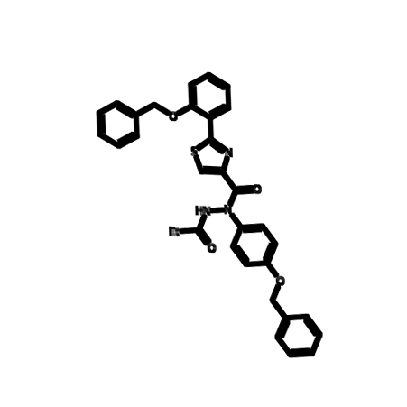 CCC(=O)NN(C(=O)c1csc(-c2ccccc2OCc2ccccc2)n1)c1ccc(OCc2ccccc2)cc1